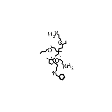 CCCCO[C@@H](C)CC[C@](C)(CC[C@H](CC)OCCCN)[C@H](C)C[C@H](OCCCN)[C@@]1(C)[C@H](C)CC[C@@H]1[C@H](C)CCCN(C)Cc1ccccc1